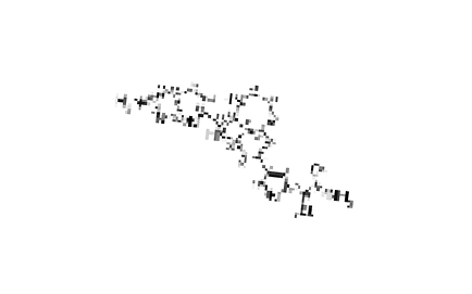 CC[C@H](C(N)=O)n1cc(-c2cc3c4c(c(-c5ccc6oc(N)nc6n5)[nH]c4c2)NCCO3)cn1